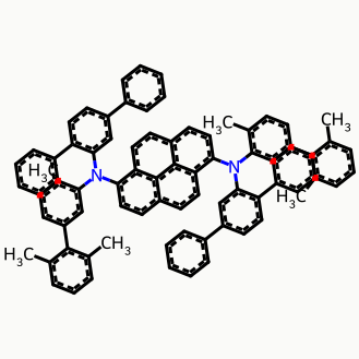 Cc1ccc(-c2c(C)cccc2C)cc1N(c1cc(-c2ccccc2)ccc1-c1ccccc1)c1ccc2ccc3c(N(c4cc(-c5c(C)cccc5C)ccc4C)c4cc(-c5ccccc5)ccc4-c4ccccc4)ccc4ccc1c2c43